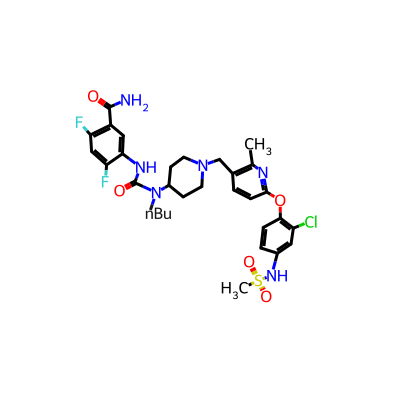 CCCCN(C(=O)Nc1cc(C(N)=O)c(F)cc1F)C1CCN(Cc2ccc(Oc3ccc(NS(C)(=O)=O)cc3Cl)nc2C)CC1